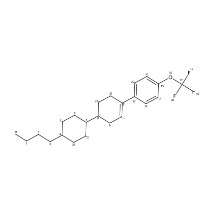 CCCCC1CCC(C2CC=C(c3ccc(OC(F)(F)F)cc3)CC2)CC1